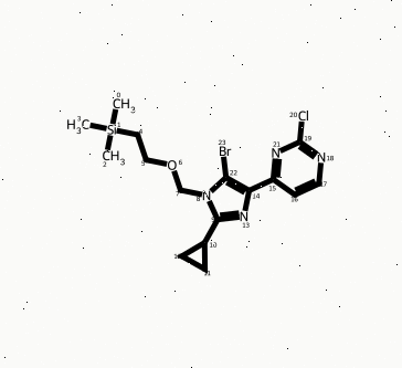 C[Si](C)(C)CCOCn1c(C2CC2)nc(-c2ccnc(Cl)n2)c1Br